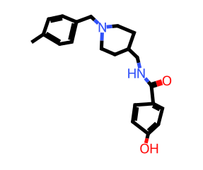 Cc1ccc(CN2CCC(CNC(=O)c3ccc(O)cc3)CC2)cc1